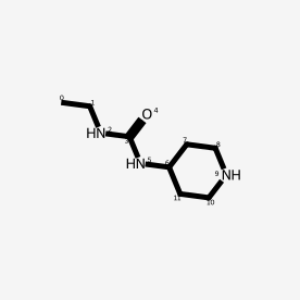 CCNC(=O)NC1CCNCC1